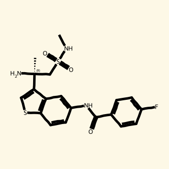 CNS(=O)(=O)C[C@](C)(N)c1csc2ccc(NC(=O)c3ccc(F)cc3)cc12